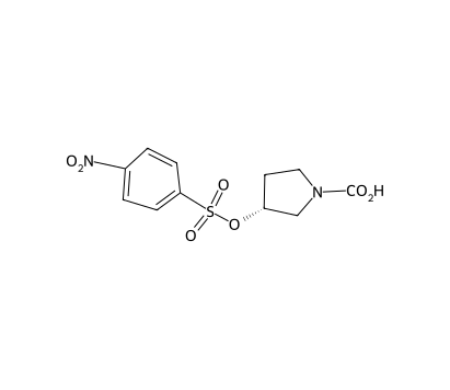 O=C(O)N1CC[C@@H](OS(=O)(=O)c2ccc([N+](=O)[O-])cc2)C1